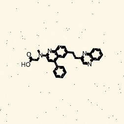 CN(CC(=O)O)c1cc(-c2ccccc2)c2cc(CCc3cnc4ccccc4n3)ccc2n1